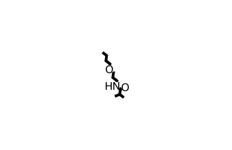 CCCCOCCCNC(=O)C(C)C